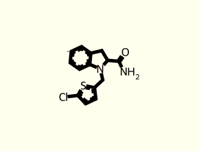 NC(=O)C1Cc2c[c]ccc2N1Cc1ccc(Cl)s1